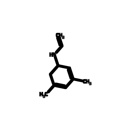 C=CNC1C=C(C)C=C(C)C1